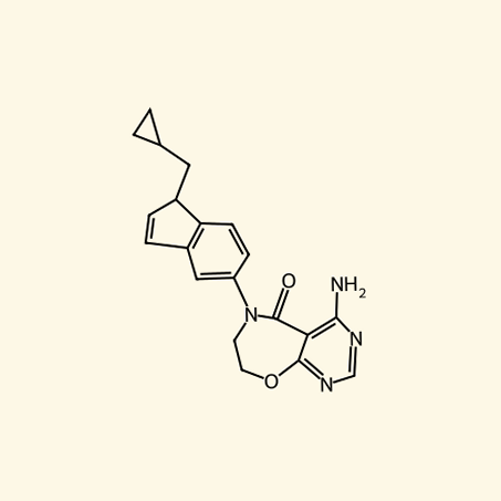 Nc1ncnc2c1C(=O)N(c1ccc3c(c1)C=CC3CC1CC1)CCO2